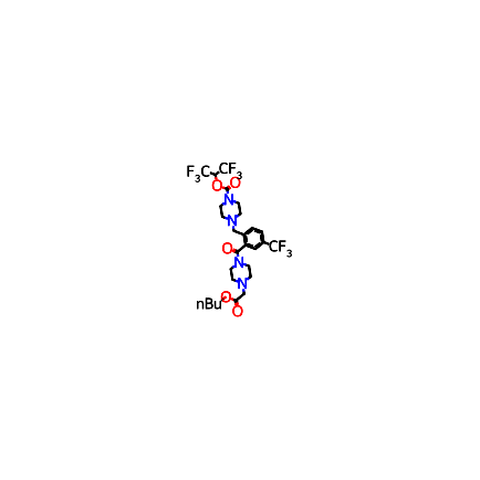 CCCCOC(=O)CN1CCN(C(=O)c2cc(C(F)(F)F)ccc2CN2CCN(C(=O)OC(C(F)(F)F)C(F)(F)F)CC2)CC1